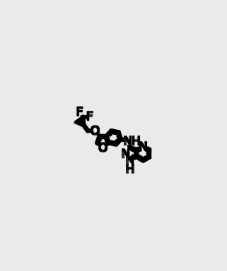 FC1(F)CC1COc1coc2cc(Nc3n[nH]c4cccnc34)ccc12